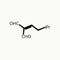 CC(C)CC=C(C=O)C=O